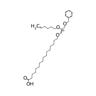 C=CCCCCO[C@H](COCCCCCCCCCCCCCCCC(=O)O)COCc1ccccc1